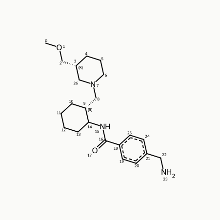 COC[C@@H]1CCCN(C[C@H]2CCCCC2NC(=O)c2ccc(CN)cc2)C1